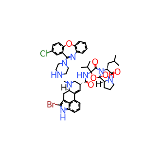 CC(C)C[C@H]1C(=O)N2CCC[C@H]2[C@]2(O)O[C@](NC(=O)[C@@H]3C=C4c5cccc6[nH]c(Br)c(c56)C[C@H]4N(C)C3)(C(C)C)C(=O)N12.Clc1ccc2c(c1)C(N1CCNCC1)=Nc1ccccc1O2